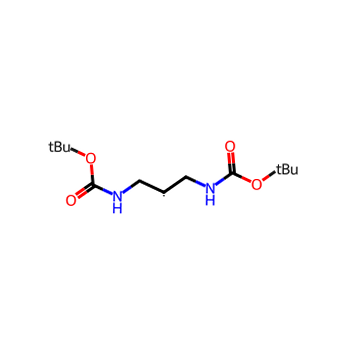 CC(C)(C)OC(=O)NC[CH]CNC(=O)OC(C)(C)C